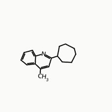 Cc1cc(C2CCCCCC2)nc2ccccc12